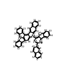 c1ccc2cc(-c3nc(-n4c5cc6ccccc6cc5c5c6c7ccccc7n7c8ccccc8c(cc54)c67)c4oc5ccccc5c4n3)ccc2c1